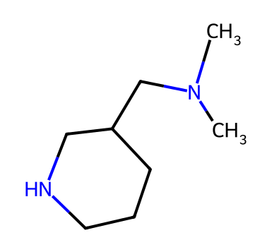 CN(C)CC1CCCNC1